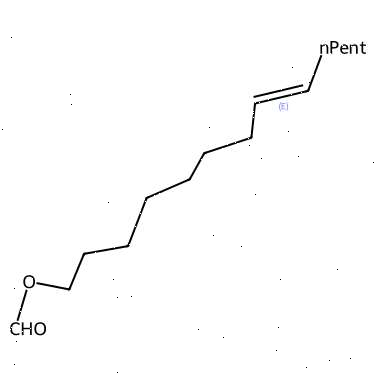 CCCCC/C=C/CCCCCCCOC=O